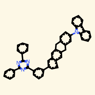 c1ccc(-c2nc(-c3ccccc3)nc(-c3cccc(-c4ccc5cc6c(cc5c4)Cc4ccc(-n5c7ccccc7c7ccccc75)cc4C6)c3)n2)cc1